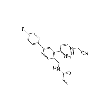 C=CC(=O)NCc1cnc(-c2ccc(F)cc2)cc1C(=N)/C=C\NCC#N